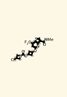 CNC(=O)c1csc2c(C(F)(F)F)cc(OC3CC(OC(=O)N4CC(Cl)C4)C3)nc12